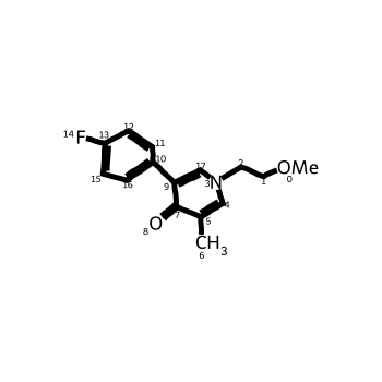 COCCn1cc(C)c(=O)c(-c2ccc(F)cc2)c1